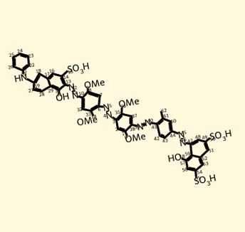 COc1cc(N=Nc2cc(OC)c(N=Nc3c(S(=O)(=O)O)cc4cc(Nc5ccccc5)ccc4c3O)cc2OC)c(OC)cc1N=Nc1ccc(N=Nc2cc(S(=O)(=O)O)cc3cc(S(=O)(=O)O)cc(O)c23)cc1C